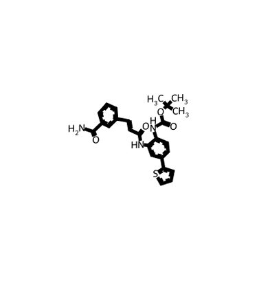 CC(C)(C)OC(=O)Nc1ccc(-c2cccs2)cc1NC(=O)C=Cc1cccc(C(N)=O)c1